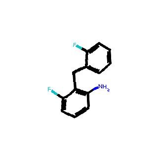 Nc1cccc(F)c1Cc1ccccc1F